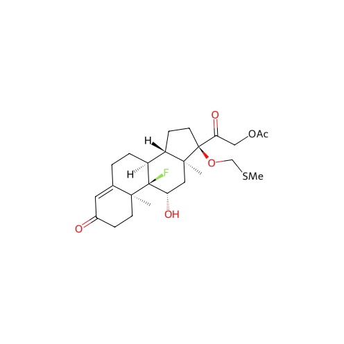 CSCO[C@]1(C(=O)COC(C)=O)CC[C@H]2[C@@H]3CCC4=CC(=O)CC[C@]4(C)[C@@]3(F)[C@@H](O)C[C@@]21C